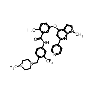 Cc1ccc(Oc2cc(-c3ccncc3)nc3c2ccn3C)cc1C(=O)Nc1ccc(CN2CCN(C)CC2)c(C(F)(F)F)c1